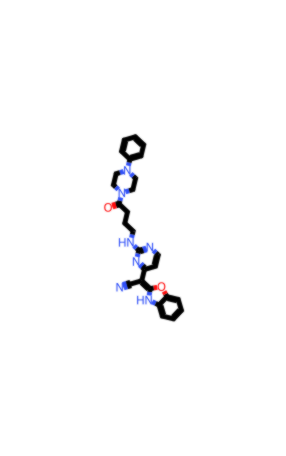 N#CC(=C1Nc2ccccc2O1)c1ccnc(NCCCC(=O)N2CCN(c3ccccc3)CC2)n1